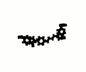 COc1ccc2[nH]cc(CCCCN3CC=C(c4cc5cc(O)ccc5[nH]4)CC3)c2c1